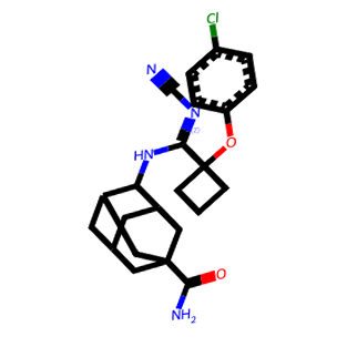 N#C/N=C(\NC1C2CC3CC1CC(C(N)=O)(C3)C2)C1(Oc2ccc(Cl)cc2)CCC1